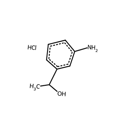 CC(O)c1cccc(N)c1.Cl